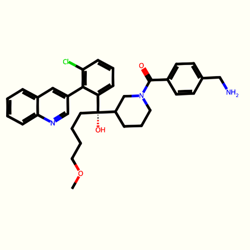 COCCCC[C@@](O)(c1cccc(Cl)c1-c1cnc2ccccc2c1)C1CCCN(C(=O)c2ccc(CN)cc2)C1